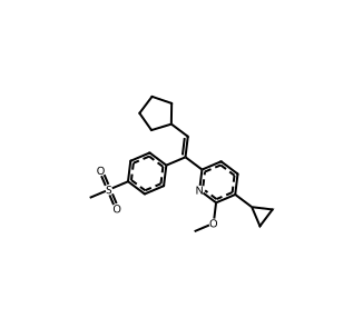 COc1nc(/C(=C/C2CCCC2)c2ccc(S(C)(=O)=O)cc2)ccc1C1CC1